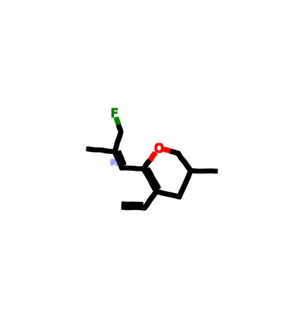 C=CC1=C(/C=C(/C)CF)OCC(C)C1